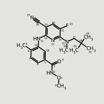 CONC(=O)c1ccc(C)c(Nc2nc(N(C)CC(C)(C)C)c(F)cc2C#N)c1